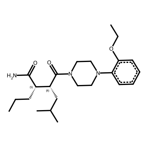 CCC[C@H](C(N)=O)[C@@H](CC(C)C)C(=O)N1CCN(c2ccccc2OCC)CC1